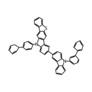 C1=CCC(c2ccc(-n3c4ccc(-c5ccc6c(c5)c5ccccc5n6-c5cccc(-c6ccccc6)c5)cc4c4cc5sc6ccccc6c5cc43)cc2)C=C1